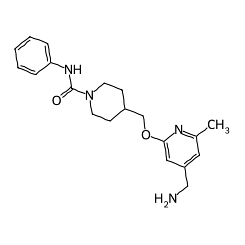 Cc1cc(CN)cc(OCC2CCN(C(=O)Nc3ccccc3)CC2)n1